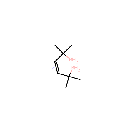 BC(C)(C)/C=C\C(B)(C)C